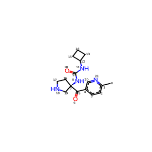 Cc1ccc(C(=O)[C@@]2(NC(=O)NC3CCC3)CCNC2)cn1